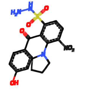 NNS(=O)(=O)c1ccc([N+](=O)[O-])c(N2CCCC2)c1C(=O)c1ccc(O)cc1